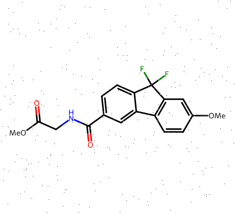 COC(=O)CNC(=O)c1ccc2c(c1)-c1ccc(OC)cc1C2(F)F